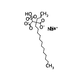 C=CCC(CCCCCCCCCCCCC)(C(=O)[O-])C(C(=O)[O-])S(=O)(=O)O.[Na+].[Na+]